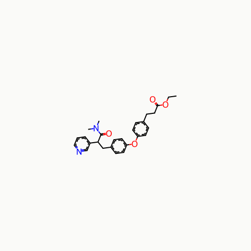 CCOC(=O)CCc1ccc(Oc2ccc(CC(C(=O)N(C)C)c3cccnc3)cc2)cc1